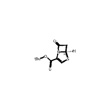 CC(C)(C)OC(=O)C1=CS[C@@H]2CC(=O)N12